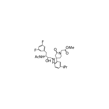 COC(=O)CN1CC[C@@](NC[C@@H](O)[C@H](Cc2cc(F)cc(F)c2)NC(C)=O)(c2cccc(C(C)C)c2)CC1=O